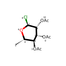 CC(=O)O[C@@H]1[C@@H](OC(C)=O)[C@H](C)O[C@@H](Cl)[C@@H]1OC(C)=O